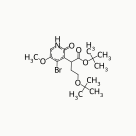 COc1c[nH]c(=O)c(C(CCOC(C)(C)C)C(=O)OC(C)(C)C)c1Br